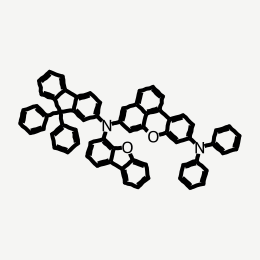 c1ccc(N(c2ccccc2)c2ccc3c(c2)Oc2cc(N(c4ccc5c(c4)C(c4ccccc4)(c4ccccc4)c4ccccc4-5)c4cccc5c4oc4ccccc45)cc4cccc-3c24)cc1